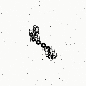 COC(=O)N[C@H](C(=O)Nc1ncc(-c2ccc(-c3ccc(-c4cnc([C@@H]5CCCN5C(=O)[C@@H](NC5OCO5)C(C)C)[nH]4)cc3)cc2)[nH]1)C(C)C